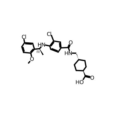 COc1ccc(Cl)cc1[C@H](C)Nc1ccc(C(=O)NC[C@H]2CC[C@H](C(=O)O)CC2)cc1Cl